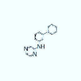 c1ccc(-c2cccc(Nc3cnccn3)c2)cc1